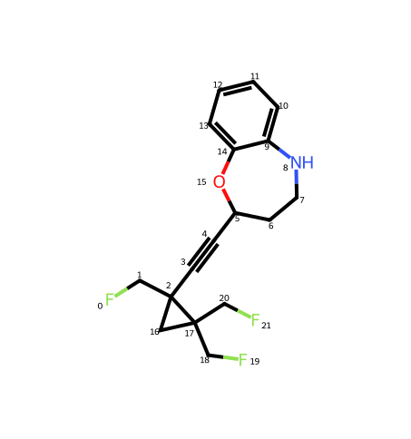 FCC1(C#CC2CCNc3ccccc3O2)CC1(CF)CF